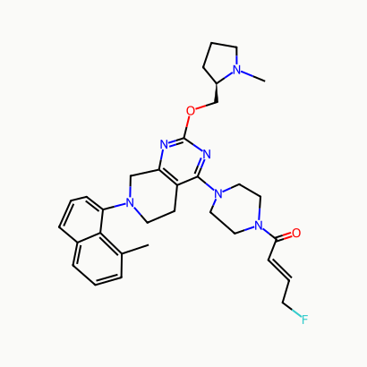 Cc1cccc2cccc(N3CCc4c(nc(OC[C@H]5CCCN5C)nc4N4CCN(C(=O)/C=C/CF)CC4)C3)c12